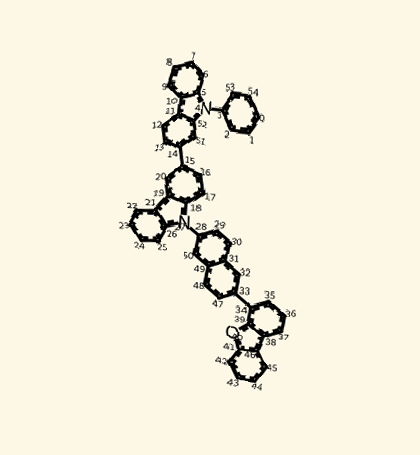 c1ccc(-n2c3ccccc3c3ccc(-c4ccc5c(c4)c4ccccc4n5-c4ccc5cc(-c6cccc7c6oc6ccccc67)ccc5c4)cc32)cc1